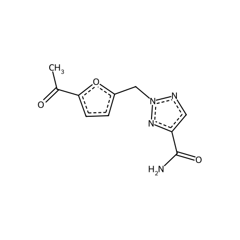 CC(=O)c1ccc(Cn2ncc(C(N)=O)n2)o1